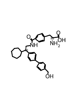 N[C@H](Cc1ccc(C(=O)NC[C@@H](c2ccc(-c3ccc(CO)cc3)cc2)C2CCCCCC2)cc1)C(=O)O